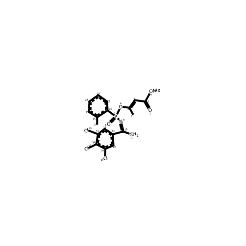 COC(=O)/C=C(\C)OP(=O)(/N=C(/N)c1cc(Cl)c(Cl)c(Cl)c1)c1ccccc1C